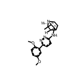 COc1ccc(OC)c(-c2ccc(N[C@H]3C4CCN(CC4)[C@@H]3C)nn2)c1